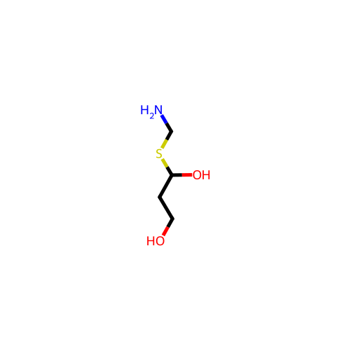 NCSC(O)CCO